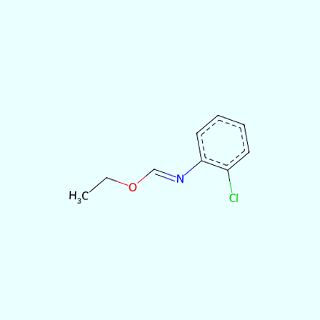 CCOC=Nc1ccccc1Cl